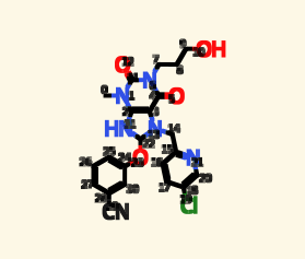 Cn1c2c(c(=O)n(CCCO)c1=O)N(Cc1ccc(Cl)cn1)C(Oc1cccc(C#N)c1)N2